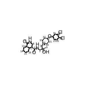 C[C@@](O)(CNC(=O)c1c[nH]c(=O)c2ccccc12)CN1CCC(Oc2ccc(Cl)c(Cl)c2)CC1